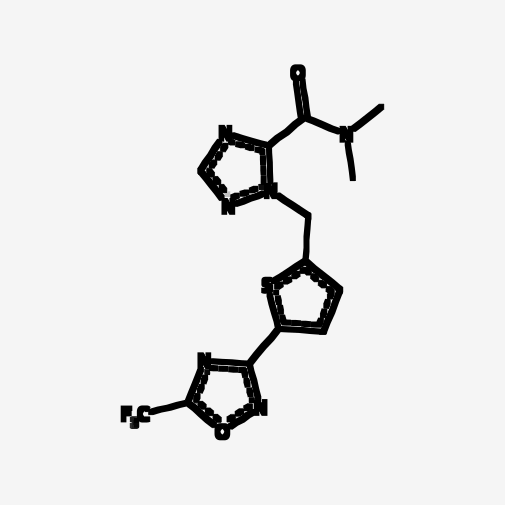 CN(C)C(=O)c1ncnn1Cc1ccc(-c2noc(C(F)(F)F)n2)s1